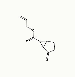 C=CCOC(=O)C1C2CCC(=O)C21